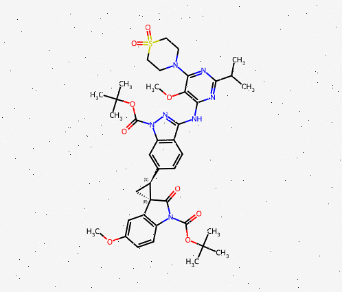 COc1ccc2c(c1)[C@]1(C[C@H]1c1ccc3c(Nc4nc(C(C)C)nc(N5CCS(=O)(=O)CC5)c4OC)nn(C(=O)OC(C)(C)C)c3c1)C(=O)N2C(=O)OC(C)(C)C